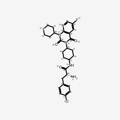 N[C@H](Cc1ccc(Cl)cc1)C(=O)NC1CCC(n2c(=O)c3cc(F)cnc3n(C3CCSCC3)c2=O)CC1